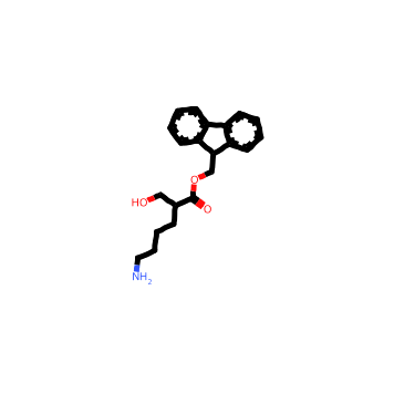 NCCCCC(CO)C(=O)OCC1c2ccccc2-c2ccccc21